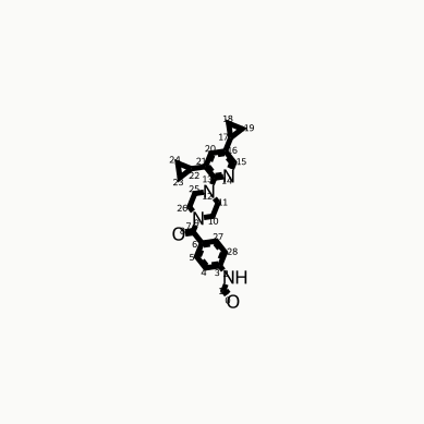 O=CNc1ccc(C(=O)N2CCN(c3ncc(C4CC4)cc3C3CC3)CC2)cc1